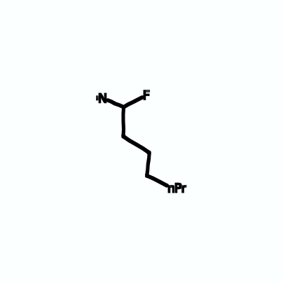 CCCCCCC([N])F